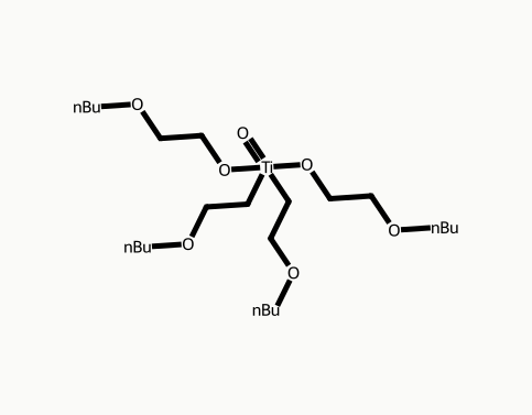 CCCCOCC[O][Ti](=[O])([CH2]COCCCC)([CH2]COCCCC)[O]CCOCCCC